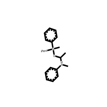 CCCC(C)[Si](C)(OC(C)[SiH](C)c1ccccc1)c1ccccc1